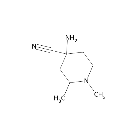 CC1CC(N)(C#N)CCN1C